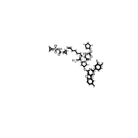 Cc1ccc2oc3c(O[C@@H]4C[C@@H](C(N)=O)N(C(=O)[C@H](CCCCC/C=C\[C@@H]5C[C@@H]5C(=O)NS(=O)(=O)C5CC5)NC(=O)OC5CCCC5)C4)nc(-c4ccc(C)c(F)c4)nc3c2c1